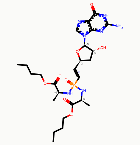 CCCCOC(=O)[C@H](C)NP(=O)(/C=C/[C@@H]1C[C@@H](O)[C@H](n2cnc3c(=O)[nH]c(N)nc32)O1)N[C@@H](C)C(=O)OCCCC